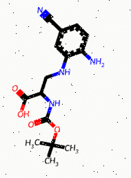 CC(C)(C)OC(=O)NC(CNc1cc(C#N)ccc1N)C(=O)O